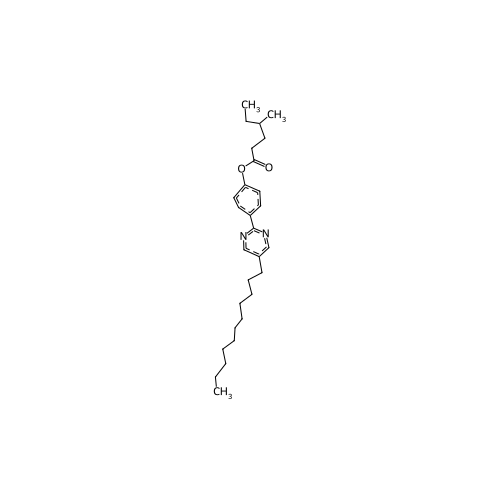 CCCCCCCCCCCc1cnc(-c2ccc(OC(=O)CCC(C)CC)cc2)nc1